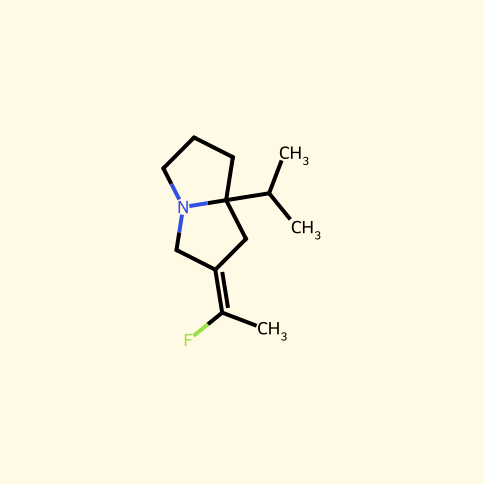 C/C(F)=C1/CN2CCCC2(C(C)C)C1